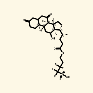 C[C@H](CCC(=O)OCCC(F)(F)C(F)(F)S(=O)(=O)O)[C@H]1CC[C@H]2[C@@H]3C(=O)CC4CC(=O)CC[C@]4(C)[C@H]3CC(O)[C@]12C